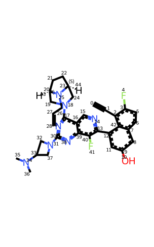 C#Cc1c(F)ccc2cc(O)cc(-c3ncc4c(N5C[C@H]6CC[C@@H](C5)N6CC=C)nc(N5CC(N(C)C)C5)nc4c3F)c12